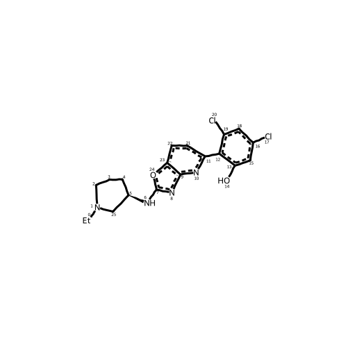 CCN1CCC[C@@H](Nc2nc3nc(-c4c(O)cc(Cl)cc4Cl)ccc3o2)C1